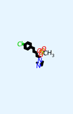 CS(=O)(=O)OC(CCc1ccc(Cl)cc1)CCn1ccnc1